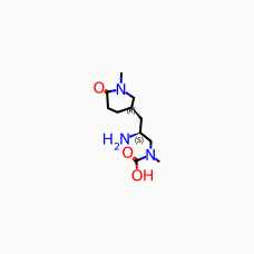 CN(C[C@@H](N)C[C@H]1CCC(=O)N(C)C1)C(=O)O